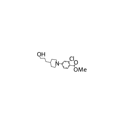 COC(=O)c1ccc(N2CCC(CCCO)CC2)cc1Cl